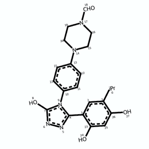 CC(C)c1cc(-c2nnc(O)n2-c2ccc(N3CCN(C=O)CC3)cc2)c(O)cc1O